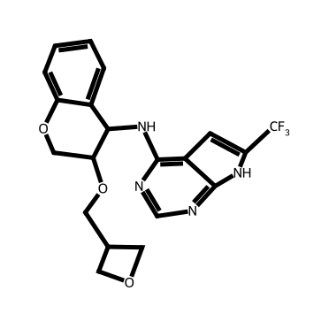 FC(F)(F)c1cc2c(NC3c4ccccc4OCC3OCC3COC3)ncnc2[nH]1